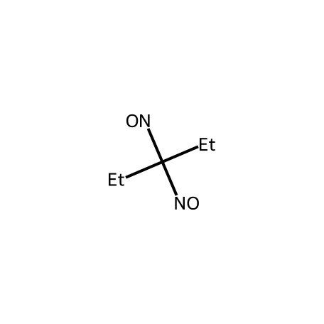 CCC(CC)(N=O)N=O